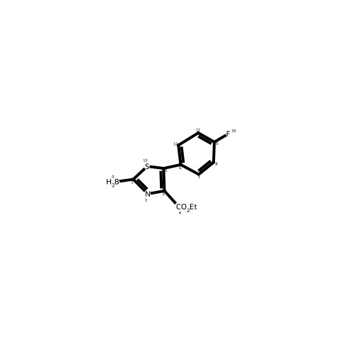 Bc1nc(C(=O)OCC)c(-c2ccc(F)cc2)s1